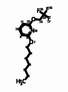 CCCCCCCOc1cccc(OCC(F)(F)F)n1